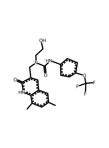 Cc1cc(C)c2[nH]c(=O)c(CN(CCO)C(=O)Nc3ccc(OC(F)(F)F)cc3)cc2c1